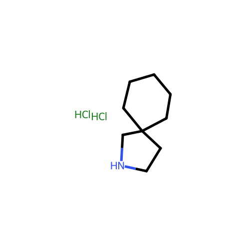 C1CCC2(CC1)CCNC2.Cl.Cl